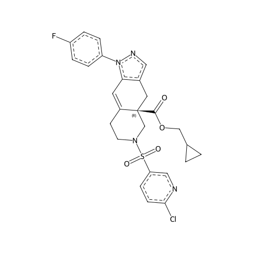 O=C(OCC1CC1)[C@]12Cc3cnn(-c4ccc(F)cc4)c3C=C1CCN(S(=O)(=O)c1ccc(Cl)nc1)C2